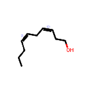 CCC/C=C\C/C=C\CCO